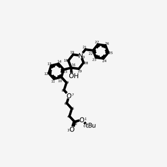 CC(C)(C)OC(=O)CCCOCCc1ccccc1C1(O)CCN(Cc2ccccc2)CC1